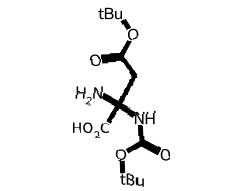 CC(C)(C)OC(=O)CC(N)(NC(=O)OC(C)(C)C)C(=O)O